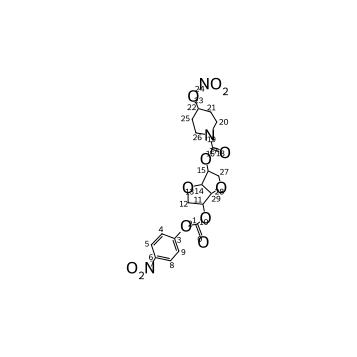 O=C(Oc1ccc([N+](=O)[O-])cc1)OC1COC2C(OC(=O)N3CCC(O[N+](=O)[O-])CC3)COC12